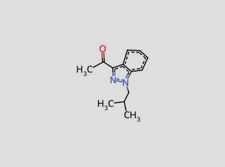 CC(=O)c1nn(CC(C)C)c2ccccc12